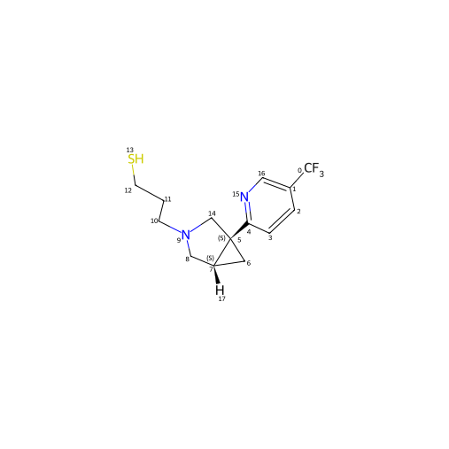 FC(F)(F)c1ccc([C@@]23C[C@@H]2CN(CCCS)C3)nc1